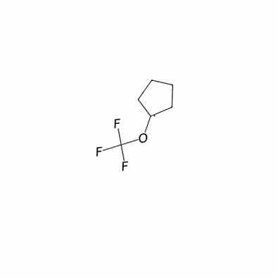 FC(F)(F)O[C]1CCCC1